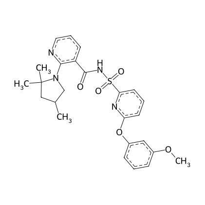 COc1cccc(Oc2cccc(S(=O)(=O)NC(=O)c3cccnc3N3CC(C)CC3(C)C)n2)c1